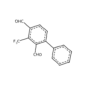 O=Cc1ccc(-c2ccccc2)c(C=O)c1C(F)(F)F